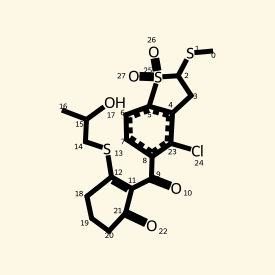 CSC1Cc2c(ccc(C(=O)C3=C(SCC(C)O)CCCC3=O)c2Cl)S1(=O)=O